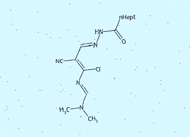 CCCCCCCC(=O)NN=CC(C#N)=C(Cl)N=CN(C)C